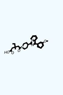 CCC(C)(CC(=O)O)CC(=O)N1CCC(c2nc(-c3cccc(OC)c3)c3ccccn23)CC1